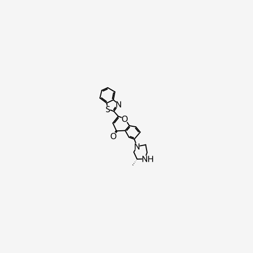 C[C@@H]1CN(c2ccc3oc(-c4nc5ccccc5s4)cc(=O)c3c2)CCN1